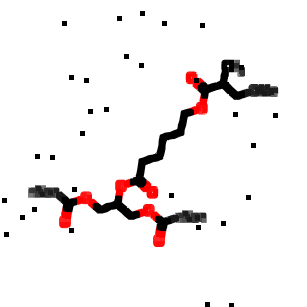 CCCCCCCCCC(=O)OCC(COC(=O)CCCCCCCCC)OC(=O)CCCCCOC(=O)C(C)COC